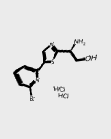 Cl.Cl.N[C@@H](CO)c1ncc(-c2cccc(Br)n2)s1